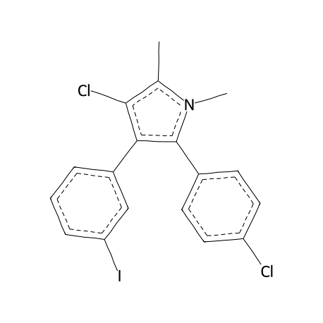 Cc1c(Cl)c(-c2cccc(I)c2)c(-c2ccc(Cl)cc2)n1C